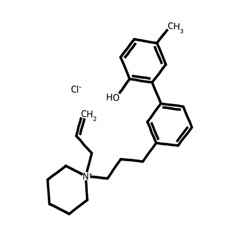 C=CC[N+]1(CCCc2cccc(-c3cc(C)ccc3O)c2)CCCCC1.[Cl-]